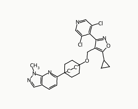 Cn1ncc2ccc(C34CCC(OCc5c(-c6c(Cl)cncc6Cl)noc5C5CC5)(CC3)CC4)nc21